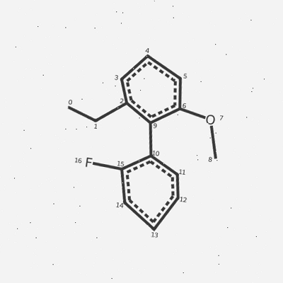 CCc1cccc(OC)c1-c1ccccc1F